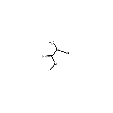 CCC(C)N(C)C(=N)NC(C)(C)C